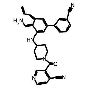 C=C/C=c1/cc(-c2cccc(C#N)c2)cc(NC2CCN(C(=O)c3cnccc3C#N)CC2)/c1=C/N